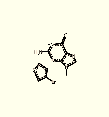 Brc1ccsc1.Cn1cnc2c(=O)[nH]c(N)nc21